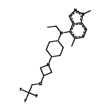 CCN(c1c(C)ccc2c1cnn2C)C1CCC(N2CC(OCC(F)(F)F)C2)CC1